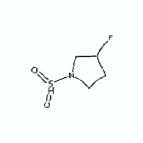 O=[SH](=O)N1CCC(F)C1